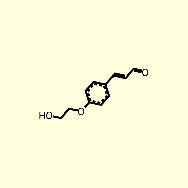 O=CC=Cc1ccc(OCCO)cc1